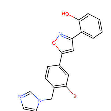 Oc1ccccc1-c1cc(-c2ccc(Cn3ccnc3)c(Br)c2)on1